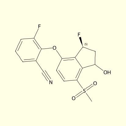 CS(=O)(=O)c1ccc(Oc2c(F)cccc2C#N)c2c1C(O)C[C@@H]2F